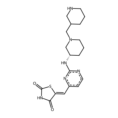 O=C1NC(=O)C(=Cc2ccnc(N[C@H]3CCCN(CC4CCCNC4)C3)n2)S1